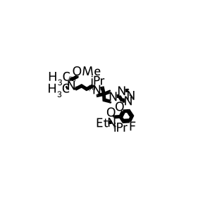 CCN(C(=O)c1cc(F)ccc1Oc1nncnc1N1CCC2(C1)CN([C@H](CCCN(C)[C@H](C)COC)C(C)C)C2)C(C)C